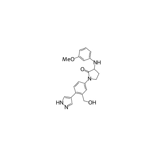 COc1cccc(NC2CCN(c3ccc(-c4cn[nH]c4)c(CO)c3)C2=O)c1